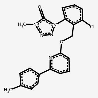 Cc1ccc(-c2cccc(OCc3c(Cl)cccc3-n3nnn(C)c3=O)n2)cc1